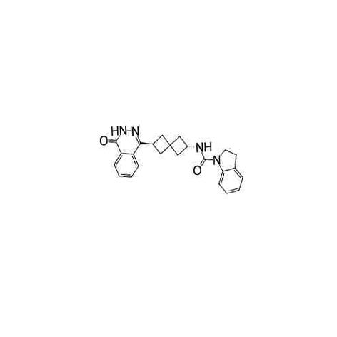 O=C(N[C@H]1CC2(C1)C[C@H](c1n[nH]c(=O)c3ccccc31)C2)N1CCc2ccccc21